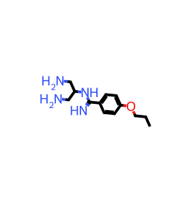 CCCOc1ccc(C(=N)NC(CN)CN)cc1